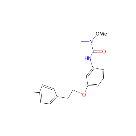 CON(C)C(=O)Nc1cccc(OCCc2ccc(C)cc2)c1